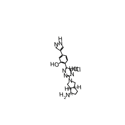 Cl.Cl.N[C@H]1CC[C@@H]2CN(c3ncc(-c4ccc(-c5cn[nH]c5)cc4O)nn3)C[C@@H]21